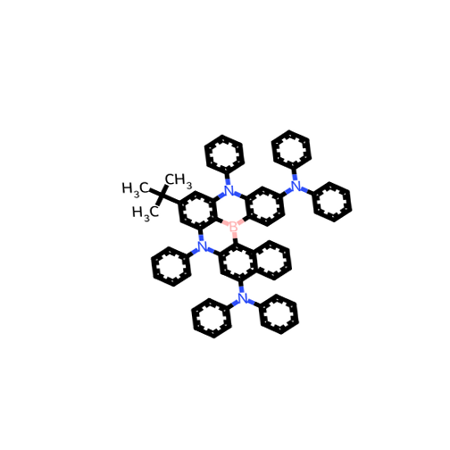 CC(C)(C)c1cc2c3c(c1)N(c1ccccc1)c1cc(N(c4ccccc4)c4ccccc4)c4ccccc4c1B3c1ccc(N(c3ccccc3)c3ccccc3)cc1N2c1ccccc1